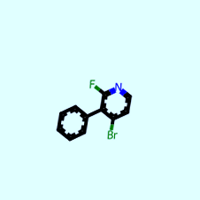 Fc1nccc(Br)c1-c1ccccc1